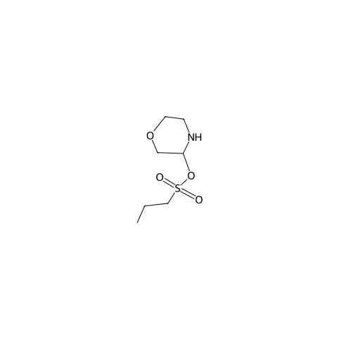 CCCS(=O)(=O)OC1COCCN1